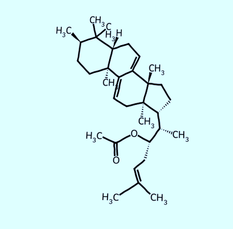 CC(=O)O[C@@H](CC=C(C)C)[C@@H](C)[C@H]1CC[C@@]2(C)C3=CC[C@H]4C(C)(C)[C@H](C)CC[C@]4(C)C3=CC[C@]12C